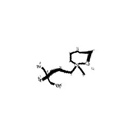 C[Si]1(CCC(Br)(Br)Br)CCCCO1